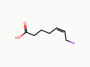 O=C(O)CCC/C=C\CI